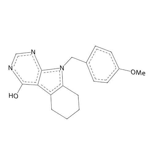 COc1ccc(Cn2c3c(c4c(O)ncnc42)CCCC3)cc1